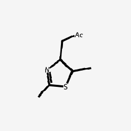 CC(=O)CC1N=C(C)SC1C